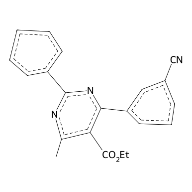 CCOC(=O)c1c(C)nc(-c2ccccc2)nc1-c1cccc(C#N)c1